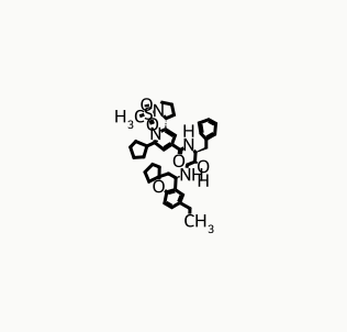 CCc1ccc2c(c1)[C@@H](NC[C@H](O)[C@H](Cc1ccccc1)NC(=O)c1cc(C3CCCC3)nc([C@H]3CCCN3S(C)(=O)=O)c1)CC1(CCCC1)O2